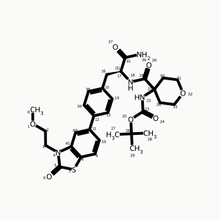 COCCn1c(=O)sc2ccc(-c3ccc(C[C@H](NC(=O)C4(NC(=O)OC(C)(C)C)CCOCC4)C(N)=O)cc3)cc21